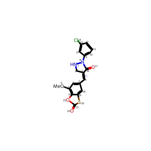 COc1cc(/C=C2\CNN(c3cccc(Cl)c3)C2=O)cc2sc(=O)oc12